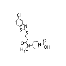 CN(C(=O)CCSc1nc2cc(Cl)ccc2s1)C1CCN(C(=O)O)CC1